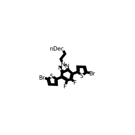 CCCCCCCCCCCCn1nc2c(-c3ccc(Br)s3)c(F)c(F)c(-c3ccc(Br)s3)c2n1